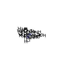 CN/C(Cl)=C(/NC(O)N(C)C1CC(NC2=CC=C(N3CCN(C[C@H](O)NCCC(O)O)CC3)C3CC[C@H]23)NCC=N1)[C@@H](Cl)/C=C\OC